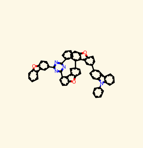 c1ccc(-c2nc(-c3ccc4oc5ccccc5c4c3)nc(-c3cccc4oc5ccc(-c6cccc7oc8ccc(-c9ccc%10c(c9)c9ccccc9n%10-c9ccccc9)cc8c67)cc5c34)n2)cc1